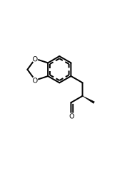 C[C@@H](C=O)Cc1ccc2c(c1)OCO2